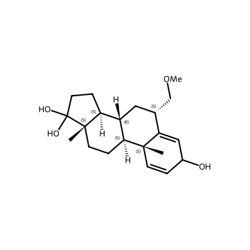 COC[C@H]1C[C@@H]2[C@H](CC[C@@]3(C)[C@H]2CCC3(O)O)[C@@]2(C)C=CC(O)C=C12